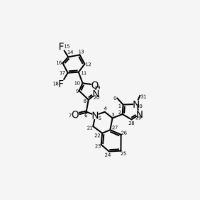 Cc1c(C2CN(C(=O)c3cc(-c4ccc(F)cc4F)on3)Cc3ccccc32)cnn1C